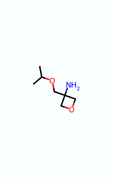 CC(C)OCC1(N)COC1